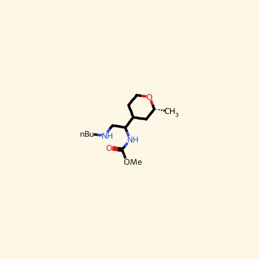 CCCCNCC(NC(=O)OC)C1CCO[C@H](C)C1